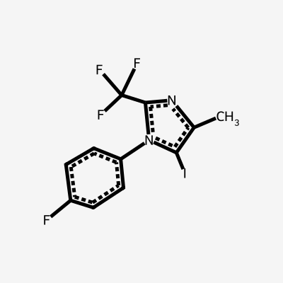 Cc1nc(C(F)(F)F)n(-c2ccc(F)cc2)c1I